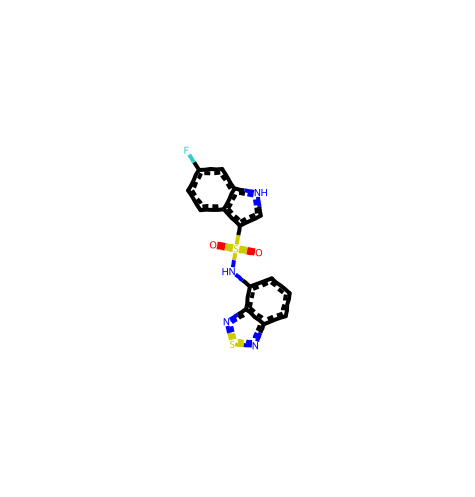 O=S(=O)(Nc1cccc2nsnc12)c1c[nH]c2cc(F)ccc12